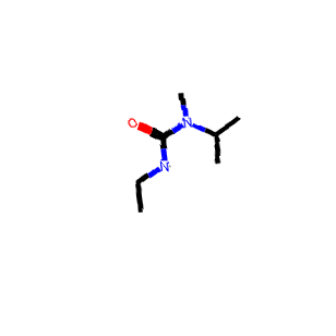 CC[N]C(=O)N(C)C(C)C